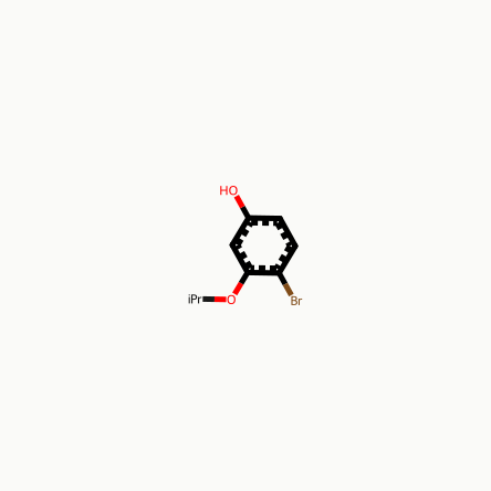 CC(C)Oc1cc(O)ccc1Br